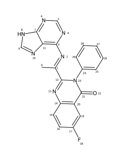 C/C(=N\c1ncnc2[nH]cnc12)c1nc2ccc(F)cc2c(=O)n1-c1ccccc1